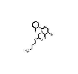 CCCCOC(=O)Cn1c(-c2ccccc2F)ncc(Br)c1=O